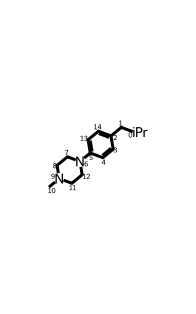 CC(C)Cc1ccc(N2CCN(C)CC2)cc1